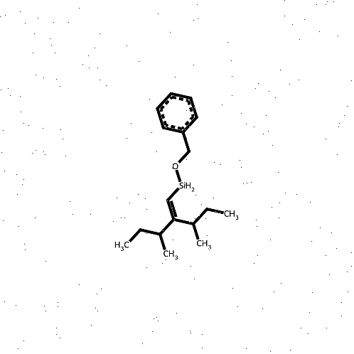 CCC(C)C(=C[SiH2]OCc1ccccc1)C(C)CC